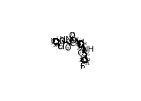 N#CC(=O)C(COc1ccccc1Cl)NC(=O)OCc1ccc(NC(=O)Cc2ccc(F)cc2)cc1